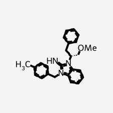 COC[C@@H](Cc1ccccc1)n1c(=N)n(Cc2ccc(C)cc2)c2ccccc21